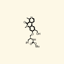 Cc1nccc2c1c(=O)n(C)c1cc(OC[C@H](CC(C)C)NC(=O)OC(C)(C)C)c(CO)cc21